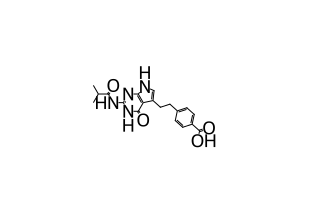 CC(C)C(=O)Nc1nc2[nH]cc(CCc3ccc(C(=O)O)cc3)c2c(=O)[nH]1